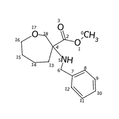 COC(=O)C1(NCc2ccccc2)CCCCOC1